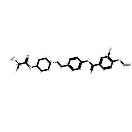 CCCCCCCCCOc1ccc(C(=O)Oc2ccc(CC[C@H]3CC[C@H](OC(=O)[C@@H](F)CCCC)CC3)cc2)cc1F